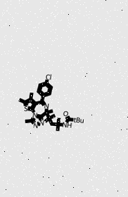 Cc1sc2c(c1C)C(c1ccc(Cl)cc1)=NC(C)(C(C)(C)CC(C)(C)NC(=O)C(C)(C)C)c1nnc(C)n1-2